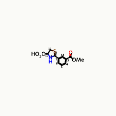 COC(=O)c1cccc(C2NC(C(=O)O)CS2)c1